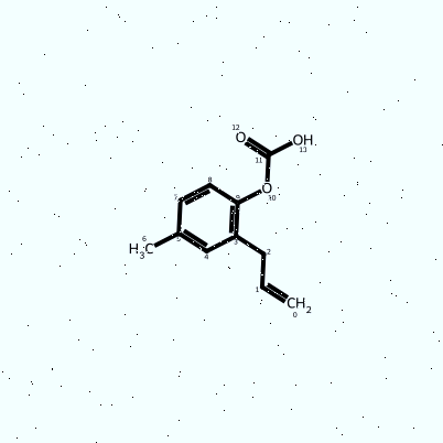 C=CCc1cc(C)ccc1OC(=O)O